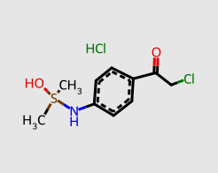 CS(C)(O)Nc1ccc(C(=O)CCl)cc1.Cl